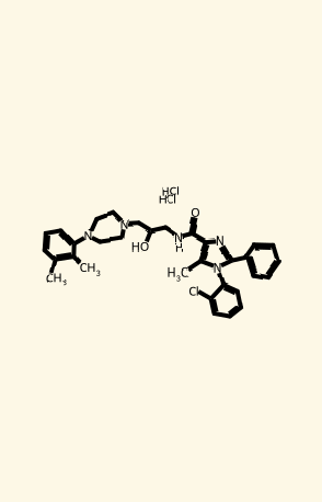 Cc1cccc(N2CCN(CC(O)CNC(=O)c3nc(-c4ccccc4)n(-c4ccccc4Cl)c3C)CC2)c1C.Cl.Cl